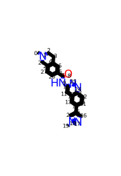 CN1CCc2cc(C(=O)Nc3cc4cc(-c5cnn(C)c5)ccc4nn3)ccc2C1